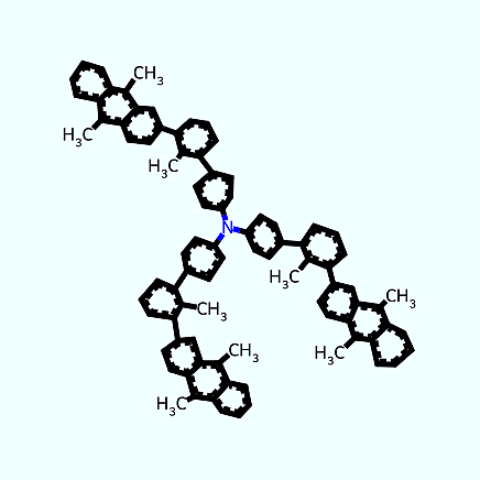 Cc1c(-c2ccc(N(c3ccc(-c4cccc(-c5ccc6c(C)c7ccccc7c(C)c6c5)c4C)cc3)c3ccc(-c4cccc(-c5ccc6c(C)c7ccccc7c(C)c6c5)c4C)cc3)cc2)cccc1-c1ccc2c(C)c3ccccc3c(C)c2c1